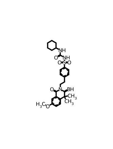 B=C1N(CCc2ccc(S(=O)(=O)NC(=O)NC3CCCCC3)cc2)C(=O)c2cc(OC)ccc2C1(C)C